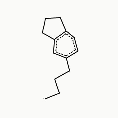 [CH2]CCCc1ccc2c(c1)CCC2